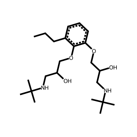 CCCc1cccc(OCC(O)CNC(C)(C)C)c1OCC(O)CNC(C)(C)C